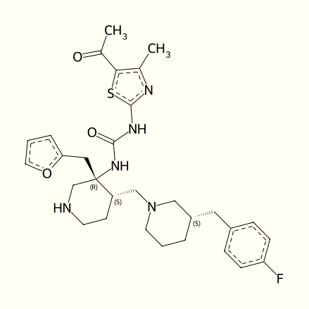 CC(=O)c1sc(NC(=O)N[C@@]2(Cc3ccco3)CNCC[C@H]2CN2CCC[C@@H](Cc3ccc(F)cc3)C2)nc1C